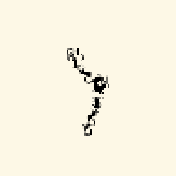 COCCOCCOc1cncc(OCCOCCOC=O)c1